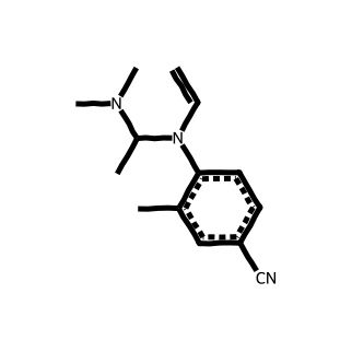 C=CN(c1ccc(C#N)cc1C)C(C)N(C)C